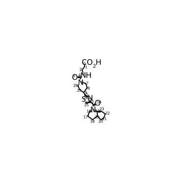 O=C(O)CCNC(=O)N1CCC(c2nc(C(=O)N3CCCC4CCCC=C43)cs2)CC1